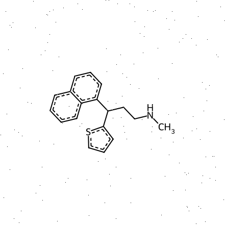 CNCCC(c1cccs1)c1cccc2ccccc12